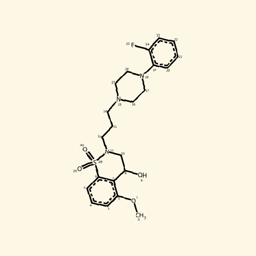 COc1cccc2c1C(O)CN(CCCN1CCN(c3ccccc3F)CC1)S2(=O)=O